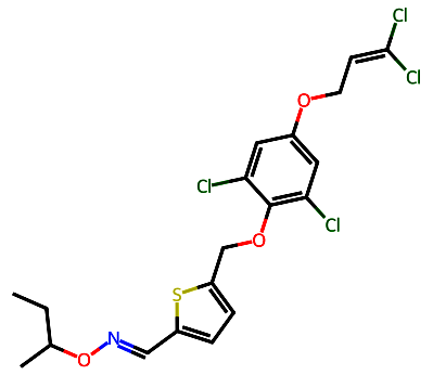 CCC(C)ON=Cc1ccc(COc2c(Cl)cc(OCC=C(Cl)Cl)cc2Cl)s1